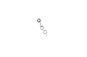 CCC[C@H]1CC[C@H](C2CC=C(CCc3ccc(F)c(F)c3)CC2)CC1